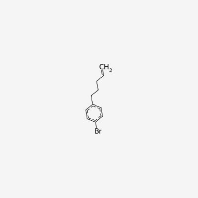 C=CCCCc1ccc(Br)cc1